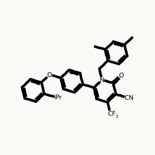 Cc1ccc(Cn2c(-c3ccc(Oc4ccccc4C(C)C)cc3)cc(C(F)(F)F)c(C#N)c2=O)c(C)c1